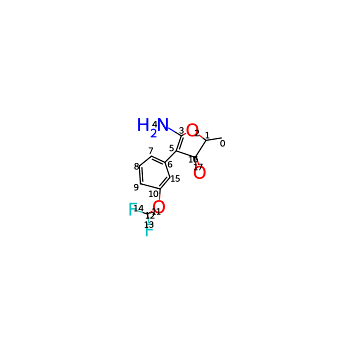 CC1OC(N)=C(c2cccc(OC(F)F)c2)C1=O